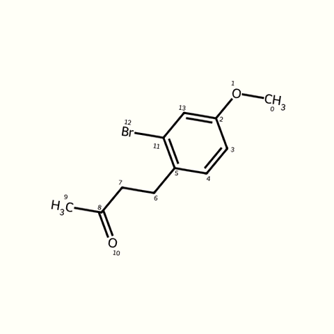 COc1ccc(CCC(C)=O)c(Br)c1